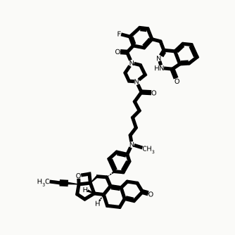 CC#C[C@]12CC[C@H]3[C@@H]4CCC5=CC(=O)CCC5=C4[C@@H](c4ccc(N(C)CCCCCC(=O)N5CCN(C(=O)c6cc(Cc7n[nH]c(=O)c8ccccc78)ccc6F)CC5)cc4)C[C@@]31CO2